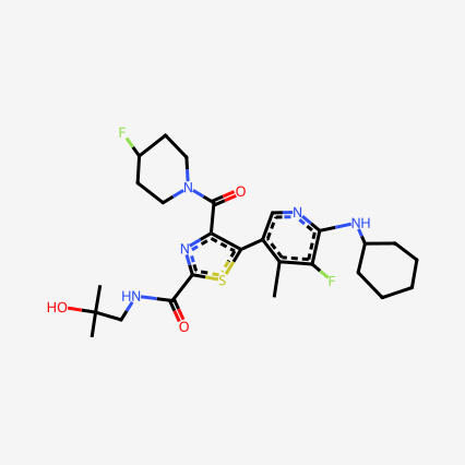 Cc1c(-c2sc(C(=O)NCC(C)(C)O)nc2C(=O)N2CCC(F)CC2)cnc(NC2CCCCC2)c1F